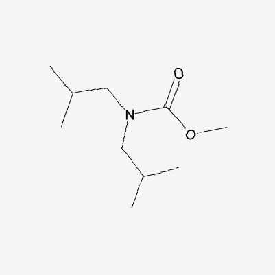 COC(=O)N(CC(C)C)CC(C)C